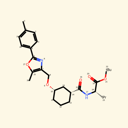 Cc1ccc(-c2nc(CO[C@H]3CCC[C@@H](C(=O)N[C@H](C(=O)OC(C)(C)C)C(C)C)C3)c(C)o2)cc1